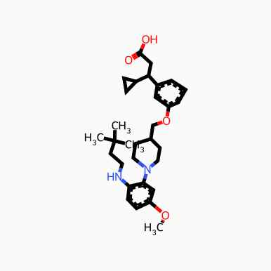 COc1ccc(NCCC(C)(C)C)c(N2CCC(COc3cccc(C(CC(=O)O)C4CC4)c3)CC2)c1